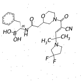 CC(C)(C=C(C#N)C(=O)N1CCOC(CC(=O)N[C@@H](Cc2ccccc2)B(O)O)C1)N1CCC(F)(F)C1